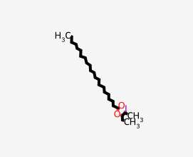 CCCCCCCCCCCCCCCCCCCCCC(=O)OC(CC)C(C)I